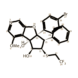 COc1cncc2c1[C@]1(O)[C@H](O)[C@H](SCC(F)(F)F)[C@@H](c3ccccc3)[C@]1(c1ccc(Br)cc1)O2